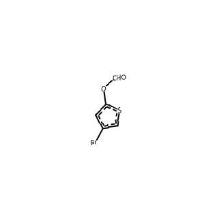 O=COc1cc(Br)cs1